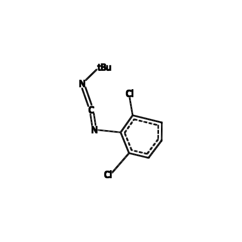 CC(C)(C)N=C=Nc1c(Cl)cccc1Cl